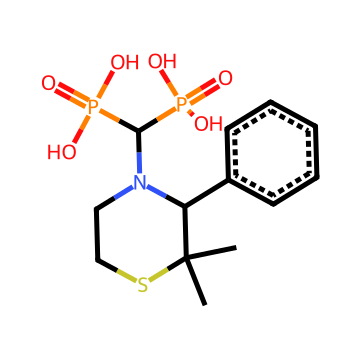 CC1(C)SCCN(C(P(=O)(O)O)P(=O)(O)O)C1c1ccccc1